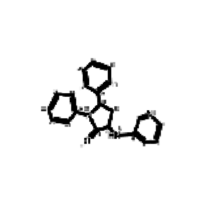 O=C1C(Nc2cccnc2)CC(c2ccccc2)N1c1ccccc1